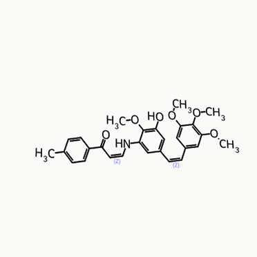 COc1cc(/C=C\c2cc(O)c(OC)c(N/C=C\C(=O)c3ccc(C)cc3)c2)cc(OC)c1OC